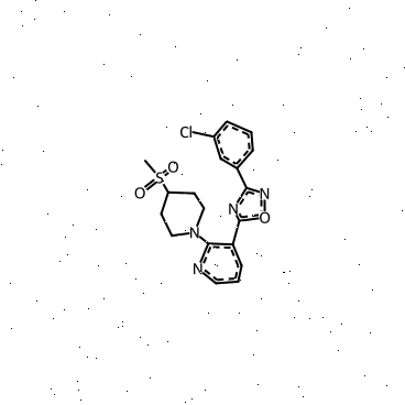 CS(=O)(=O)C1CCN(c2ncccc2-c2nc(-c3cccc(Cl)c3)no2)CC1